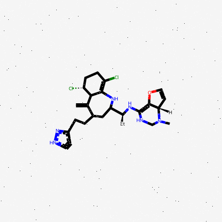 C=C1C(CCc2c#c[nH]n2)CC([C@H](CC)NC2=C3OC=C[C@@H]3N(C)CN2)NC2=C(Cl)CC[C@@H](Cl)C12